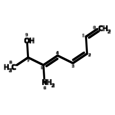 C=C/C=C\C=C(/N)C(C)O